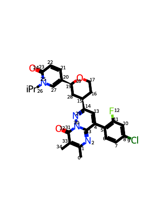 Cc1nc2c(-c3ccc(Cl)cc3F)cc([C@@H]3CCO[C@H](c4ccc(=O)n(C(C)C)c4)C3)nn2c(=O)c1C